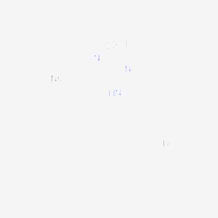 N#CC1CC(c2ncc(-c3ccc(Br)cc3)[nH]2)N(C(=O)O)C1